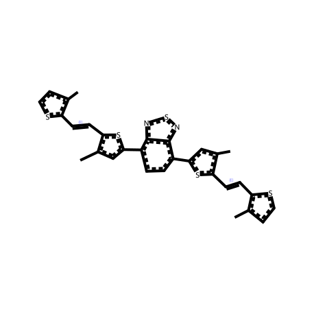 Cc1ccsc1/C=C/c1sc(-c2ccc(-c3cc(C)c(/C=C/c4sccc4C)s3)c3nsnc23)cc1C